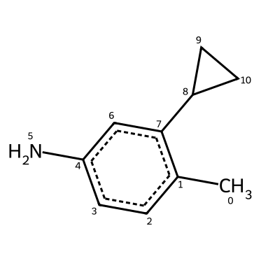 Cc1ccc(N)cc1C1CC1